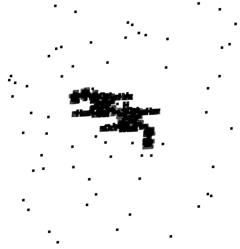 CCCCCCCCC(CCCCCC)CN1C(=O)C2=C(/C(=C/C=C/c3ccc(-c4cccs4)s3)SC)N(CC(CCCCCC)CCCCCCCC)C(=O)C2=C1/C(S)=C/CC/C=C(\S)C1=C2C(=O)N(CC(CCCCCC)CCCCCCCC)C(c3ccc(-c4ccc(-c5cccs5)s4)s3)=C2C(=O)N1CC(CCCCCC)CCCCCCCC